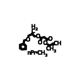 C#CC(C)OC(=O)CC(=O)OCC(=C)COCc1ccccc1.CCCC